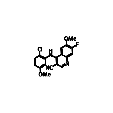 COc1ccc(Cl)c(Nc2c(C#N)cnc3cc(F)c(OC)cc23)c1